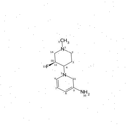 CN1CCC(N2C=CC=C(N)C2)[C@@H](F)C1